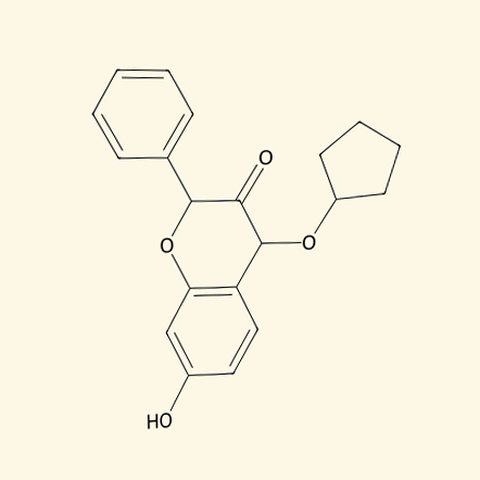 O=C1C(c2ccccc2)Oc2cc(O)ccc2C1OC1CCCC1